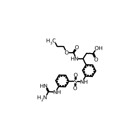 CCCOC(=O)NC(CC(=O)O)c1cccc(NS(=O)(=O)c2cccc(NC(=N)N)c2)c1